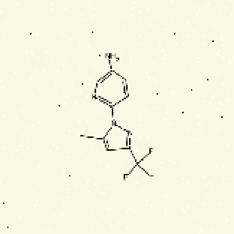 Cc1cc(C(F)(F)F)nn1-c1ccc(N)cn1